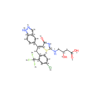 O=C(O)CC(O)CNC1=NC(=O)C(=C(Cc2ccc(Cl)cc2C(F)(F)F)c2ccc3[nH]ncc3c2)S1